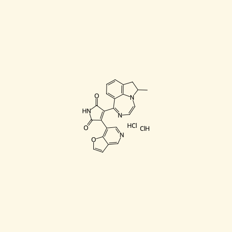 CC1Cc2cccc3c2N1C=CN=C3C1=C(c2cncc3ccoc23)C(=O)NC1=O.Cl.Cl